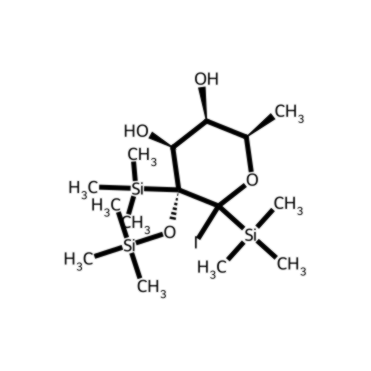 C[C@H]1OC(I)([Si](C)(C)C)[C@@](O[Si](C)(C)C)([Si](C)(C)C)[C@@H](O)[C@H]1O